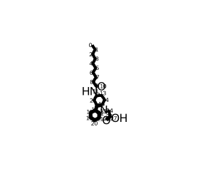 CCCCCCCCCC(=O)N[C@@H]1CCc2c(c3ccccc3n2CC(=O)O)C1